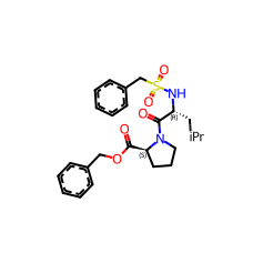 CC(C)C[C@@H](NS(=O)(=O)Cc1ccccc1)C(=O)N1CCC[C@H]1C(=O)OCc1ccccc1